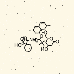 CCC(C)(C)C(=O)O[C@@H]1C[C@H](C)C=C2C=C[C@@H](C)[C@@H](CC[C@@H]3C[C@H](O)CC(=O)O3)[C@@H]21.NC(=O)C1(B(O)O)CCCCC1